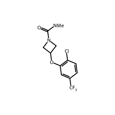 CNC(=O)N1CC(Oc2cc(C(F)(F)F)ccc2Cl)C1